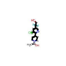 CB(O)N1CC=C(c2ncc(C(F)(F)CO)cc2Cl)CC1